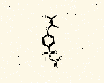 O=[SH](=O)NS(=O)(=O)c1ccc(OC(F)=C(F)F)cc1